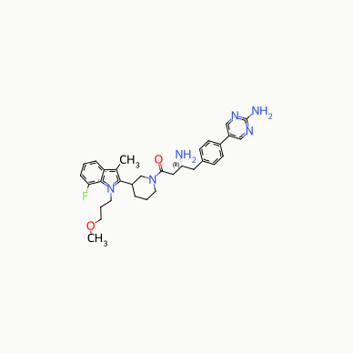 COCCCn1c(C2CCCN(C(=O)C[C@H](N)Cc3ccc(-c4cnc(N)nc4)cc3)C2)c(C)c2cccc(F)c21